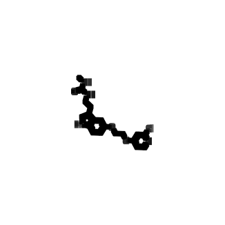 CNC(=O)NCCc1c[nH]c2ccc(OCCOc3ccnc(Cl)c3)cc12